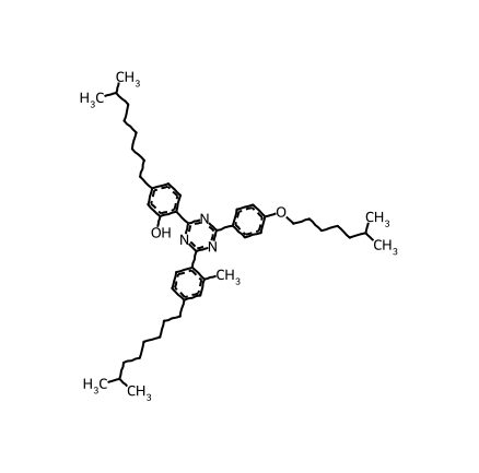 Cc1cc(CCCCCCC(C)C)ccc1-c1nc(-c2ccc(OCCCCCC(C)C)cc2)nc(-c2ccc(CCCCCCC(C)C)cc2O)n1